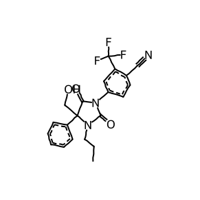 CCCN1C(=O)N(c2ccc(C#N)c(C(F)(F)F)c2)C(=O)C1(CO)c1ccccc1